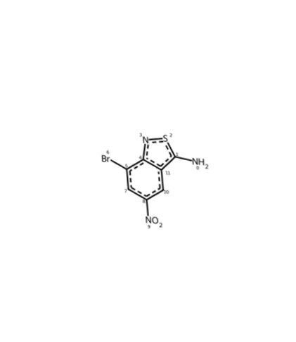 Nc1snc2c(Br)cc([N+](=O)[O-])cc12